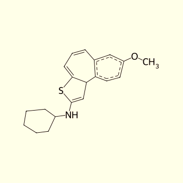 COc1ccc2c(c1)C=CC=C1SC(NC3CCCCC3)=CC12